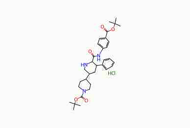 CC(C)(C)OC(=O)c1ccc(NC(=O)C2NCC(C3CCN(C(=O)OC(C)(C)C)CC3)CC2c2ccccc2)cc1.Cl